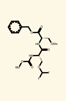 COC[C@H](NC(=O)[C@H](COC(F)F)NC(=O)OC(C)(C)C)C(=O)OCc1ccccc1